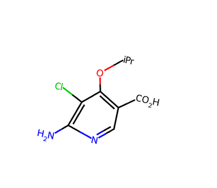 CC(C)Oc1c(C(=O)O)cnc(N)c1Cl